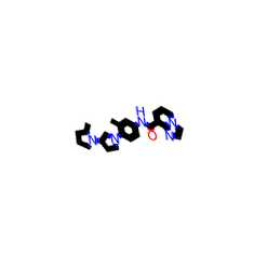 Cc1cc(NC(=O)c2cccn3ccnc23)ccc1N1CCC(N2CCCC2C)C1